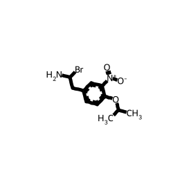 CC(C)Oc1ccc(CC(N)Br)cc1[N+](=O)[O-]